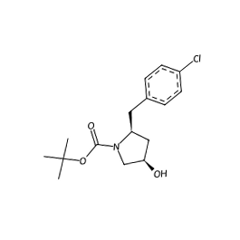 CC(C)(C)OC(=O)N1C[C@H](O)C[C@@H]1Cc1ccc(Cl)cc1